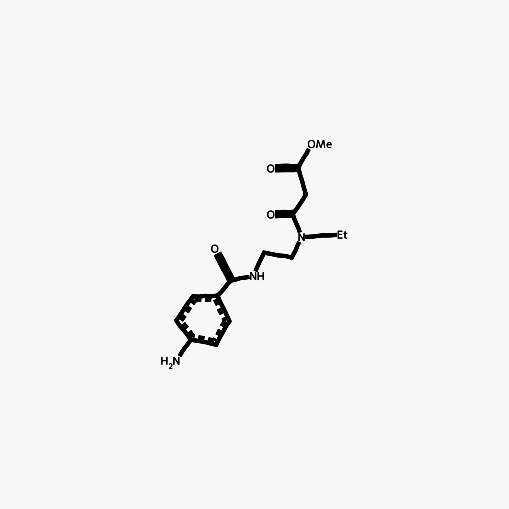 CCN(CCNC(=O)c1ccc(N)cc1)C(=O)CC(=O)OC